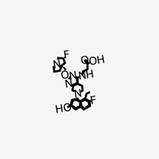 CCc1c(F)ccc2cc(O)cc(N3CCc4c(nc(OC[C@@]56CCCN5C[C@H](F)C6)nc4NCCC(=O)O)C3)c12